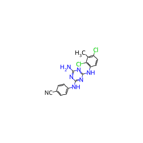 Cc1c(Cl)ccc(Nc2nc(N)nc(Nc3ccc(C#N)cc3)n2)c1Cl